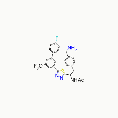 CC(=O)NC(Cc1ccc(CN)cc1)c1nnc(-c2cc(-c3ccc(F)cc3)cc(C(F)(F)F)c2)s1